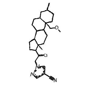 COCC12CCC(C)CC1CCC1C3CCC(C(=O)Cn4cc(C#N)cn4)C3(C)CCC12